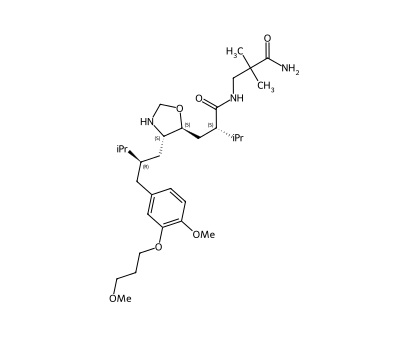 COCCCOc1cc(C[C@H](C[C@@H]2NCO[C@H]2C[C@H](C(=O)NCC(C)(C)C(N)=O)C(C)C)C(C)C)ccc1OC